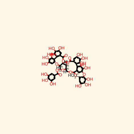 O=C(O[C@@H]1O[C@@H]2COC(=O)c3cc(Oc4c(C(=O)O)cc(O)c(O)c4O)c(O)c(O)c3-c3c(cc(O)c(O)c3O)C(=O)O[C@H]2[C@@H]2OC(=O)c3cc(O)c(O)c(O)c3-c3c(cc(O)c(O)c3O)O[C@@H]12)c1cc(O)c(O)c(O)c1